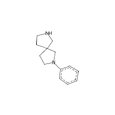 c1ccc(N2CCC3(CCNC3)C2)cc1